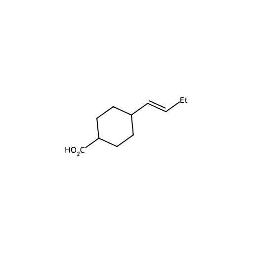 CCC=CC1CCC(C(=O)O)CC1